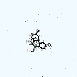 COc1ccc2c(c1)[C@]13CCN[C@H](C2)[C@]1(OC)CCC(=O)C3.Cl